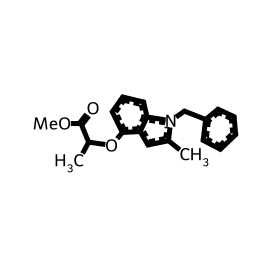 COC(=O)C(C)Oc1cccc2c1cc(C)n2Cc1ccccc1